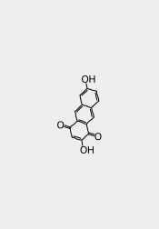 O=C1C=C(O)C(=O)c2cc3ccc(O)cc3cc21